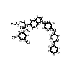 O=C(O)CN(c1ccc2c(ccn2-c2cnc(OC3COC(c4ccccc4)OC3)cn2)c1)S(=O)(=O)c1cc(Cl)cc(Cl)c1